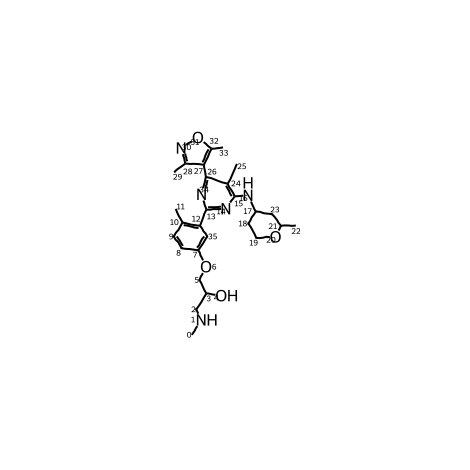 CNCC(O)COc1ccc(C)c(-c2nc(NC3CCOC(C)C3)c(C)c(-c3c(C)noc3C)n2)c1